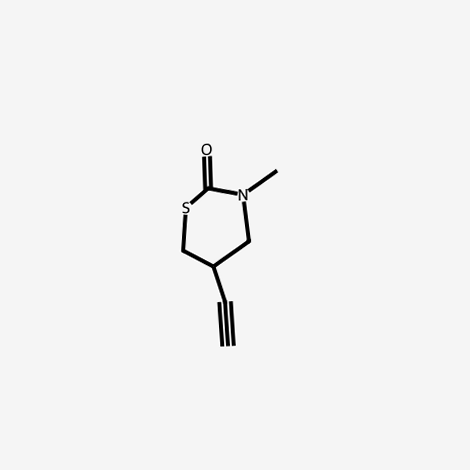 C#CC1CSC(=O)N(C)C1